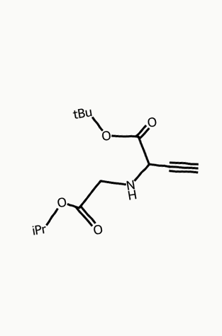 C#CC(NCC(=O)OC(C)C)C(=O)OC(C)(C)C